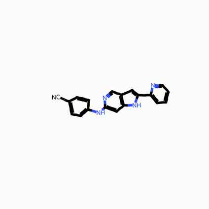 N#Cc1ccc(Nc2cc3[nH]c(-c4ccccn4)cc3cn2)cc1